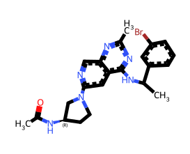 CC(=O)N[C@@H]1CCN(c2cc3c(NC(C)c4cccc(Br)c4)nc(C)nc3cn2)C1